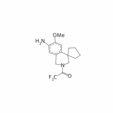 COc1cc2c(cc1N)CN(C(=O)C(F)(F)F)CC21CCCC1